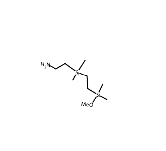 CO[Si](C)(C)CC[Si](C)(C)CCN